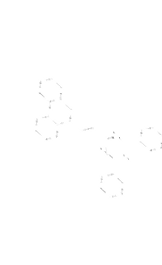 CN1C(c2ccccc2)=NC(C2=Cc3c(c4ccccc4c4ccccc34)CC2)=NC1c1ccccc1